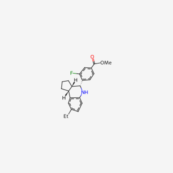 CCc1ccc2c(c1)[C@@H]1CCC[C@@H]1[C@H](c1ccc(C(=O)OC)cc1F)N2